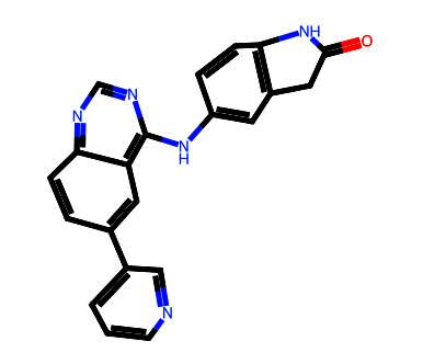 O=C1Cc2cc(Nc3ncnc4ccc(-c5cccnc5)cc34)ccc2N1